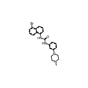 CN1CCN(c2cccc(NC(=O)Nc3cccc4c(Br)cccc34)c2)CC1